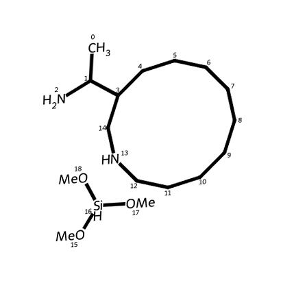 CC(N)C1CCCCCCCCCNC1.CO[SiH](OC)OC